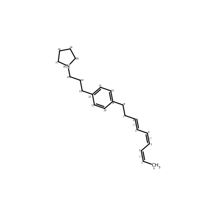 C\C=C/C=C\C=C\CCc1ccc(CCCN2CCCC2)cc1